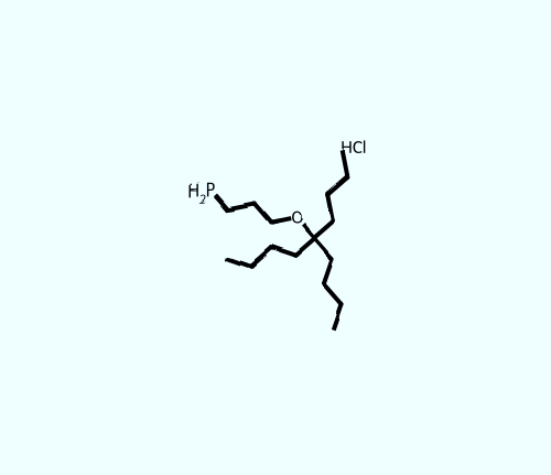 CCCCC(CCCC)(CCCC)OCCCP.Cl